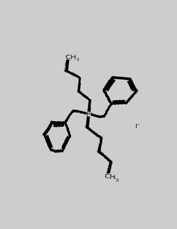 CCCCC[P+](CCCCC)(Cc1ccccc1)Cc1ccccc1.[I-]